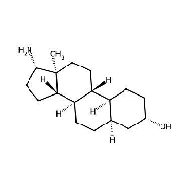 C[C@]12CC[C@H]3[C@@H](CC[C@@H]4C[C@@H](O)CC[C@@H]43)[C@@H]1CC[C@@H]2N